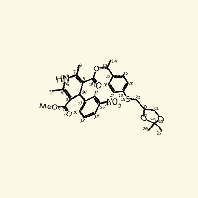 COC(=O)C1=C(C)NC(C)=C(C(=O)OC(C)c2ccc(SCC3COC(C)(C)O3)cc2)C1c1cccc([N+](=O)[O-])c1